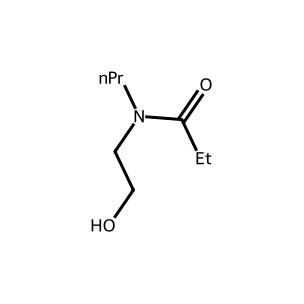 CCCN(CCO)C(=O)CC